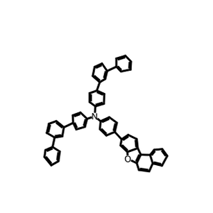 c1ccc(-c2cccc(-c3ccc(N(c4ccc(-c5cccc(-c6ccccc6)c5)cc4)c4ccc(-c5ccc6c(c5)oc5ccc7ccccc7c56)cc4)cc3)c2)cc1